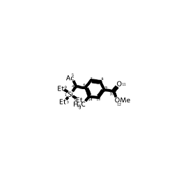 CC[Si](CC)(CC)C(C(C)=O)c1ccc(C(=O)OC)cc1C